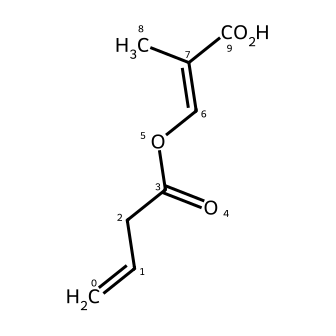 C=CCC(=O)OC=C(C)C(=O)O